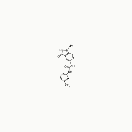 CC(C)n1[nH]c(=O)c2cc(NC(=O)Nc3cccc(C(F)(F)F)c3)ccc21